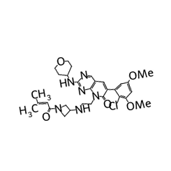 COc1cc(OC)c(Cl)c(-c2cc3cnc(NC4CCOCC4)nc3n(CCNC3CN(C(=O)C=C(C)C)C3)c2=O)c1